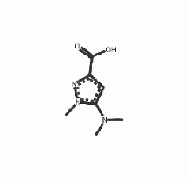 CN(C)c1cc(C(=O)O)nn1C